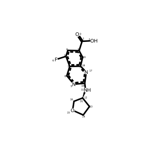 O=C(O)c1cc(F)c2cnc(N[C@H]3CCOC3)nc2c1